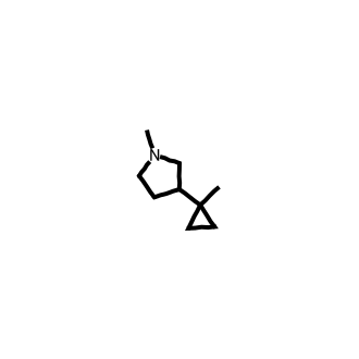 CN1CCC(C2(C)CC2)C1